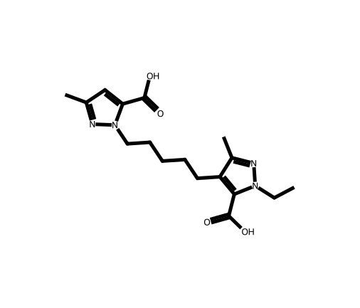 CCn1nc(C)c(CCCCCn2nc(C)cc2C(=O)O)c1C(=O)O